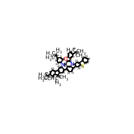 CC(C)(C)c1ccc(N2B3c4oc5ccc(C(C)(C)C)cc5c4-n4c5cc6c(cc5c5ccc(c3c54)-c3cc4c(cc32)-c2ccc(C(C)(C)C)cc2C4(C)C)sc2ccccc26)cc1